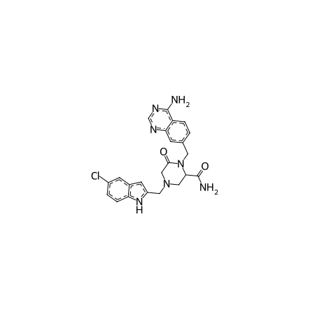 NC(=O)C1CN(Cc2cc3cc(Cl)ccc3[nH]2)CC(=O)N1Cc1ccc2c(N)ncnc2c1